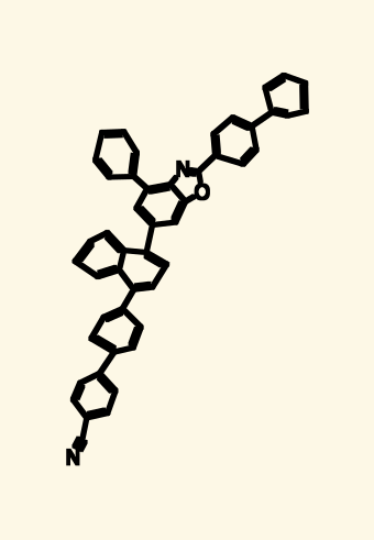 N#Cc1ccc(-c2ccc(-c3ccc(-c4cc(-c5ccccc5)c5nc(-c6ccc(-c7ccccc7)cc6)oc5c4)c4ccccc34)cc2)cc1